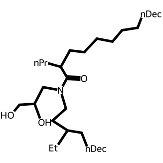 CCCCCCCCCCCCCCCCC(CCC)C(=O)N(CCC(CC)CCCCCCCCCCC)CC(O)CO